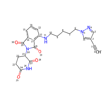 C#Cc1cnn(CCCCCNc2cccc3c2C(=O)N(C2CCC(=O)NC2=O)C3=O)c1